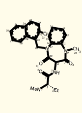 CC[C@H](NC)C(=O)NC1C(=O)N(C)c2ccccc2N(Cc2c(C)ccc3ccccc23)C1=O